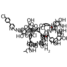 CN[C@H](CC(C)C)C(=O)NC1C(=O)N[C@@H](CC(N)=O)C(=O)N[C@H]2C(=O)N[C@H]3C(=O)N[C@H](C(=O)N[C@@H](C(=O)O)c4cc(O)cc(O)c4-c4cc3ccc4O)[C@H](O[C@H]3C[C@](C)(N)[C@@H](O)[C@H](C)O3)c3ccc(c(Cl)c3)Oc3cc2cc(c3O[C@@H]2O[C@H](CO)[C@@H](O[C@@H]3O[C@H](CNCc4ccc(-c5ccc(Cl)cc5)cn4)[C@H](O)[C@H](O)[C@H]3O)[C@H](O)[C@H]2O)Oc2ccc(cc2Cl)[C@H]1O